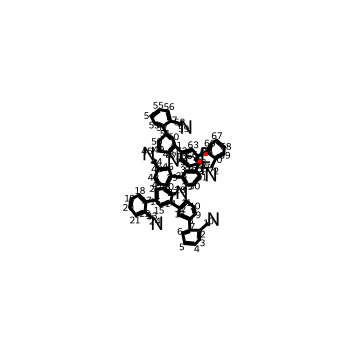 N#Cc1ccccc1-c1ccc2c(c1)c1cc(-c3ccccc3C#N)ccc1n2-c1ccc(C(F)(F)F)cc1-c1cccc(C#N)c1-n1c2ccc(-c3ccccc3C#N)cc2c2cc(-c3ccccc3C#N)ccc21